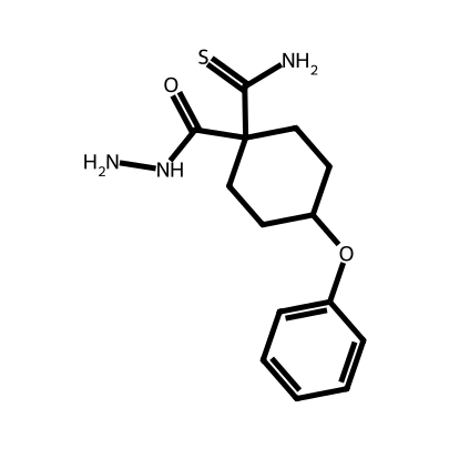 NNC(=O)C1(C(N)=S)CCC(Oc2ccccc2)CC1